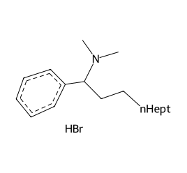 Br.CCCCCCCCCC(c1ccccc1)N(C)C